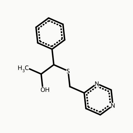 CC(O)C(SCc1ccncn1)c1ccccc1